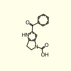 O=C(c1ccccc1)c1cc2c([nH]1)CCN2C(=O)O